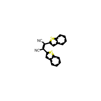 N#C/C(=C(\C#N)c1cc2ccccc2s1)c1cc2ccccc2s1